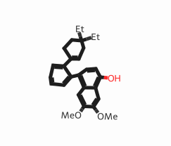 CCC1(CC)CC=C(c2ccccc2-c2ccc(O)c3cc(OC)c(OC)cc23)CC1